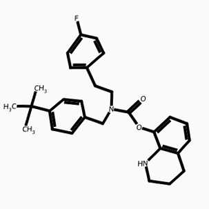 CC(C)(C)c1ccc(CN(CCc2ccc(F)cc2)C(=O)Oc2cccc3c2NCCC3)cc1